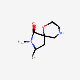 CC(C)C1CC2(CNCCO2)C(=O)N1C